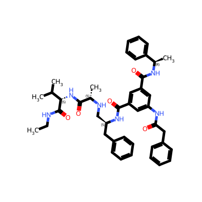 CCNC(=O)[C@@H](NC(=O)[C@H](C)NC[C@H](Cc1ccccc1)NC(=O)c1cc(NC(=O)Cc2ccccc2)cc(C(=O)N[C@H](C)c2ccccc2)c1)C(C)C